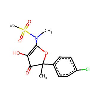 CCS(=O)(=O)N(C)C1=C(O)C(=O)C(C)(c2ccc(Cl)cc2)O1